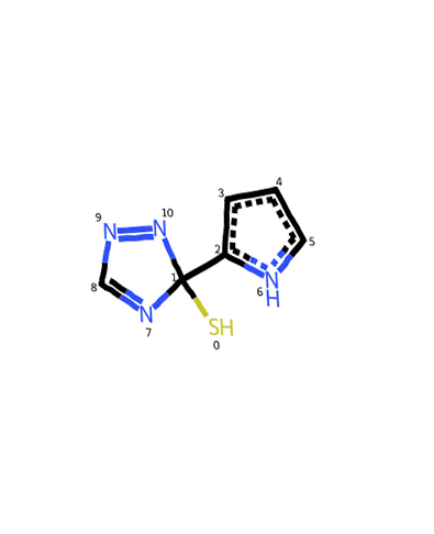 SC1(c2ccc[nH]2)N=CN=N1